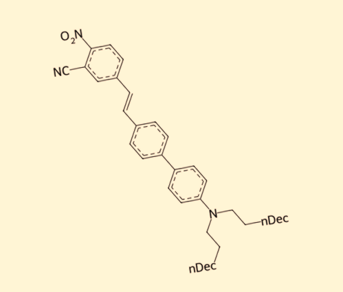 CCCCCCCCCCCCN(CCCCCCCCCCCC)c1ccc(-c2ccc(C=Cc3ccc([N+](=O)[O-])c(C#N)c3)cc2)cc1